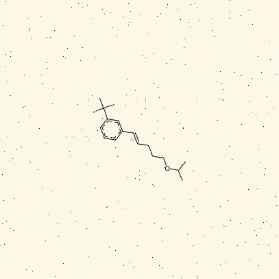 CC(C)OCCC/C=C/c1cccc(C(C)(C)C)c1